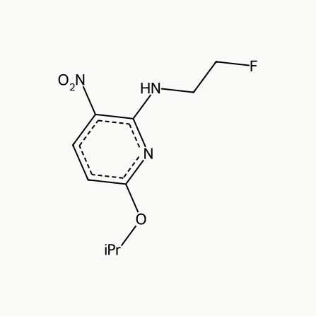 CC(C)Oc1ccc([N+](=O)[O-])c(NCCF)n1